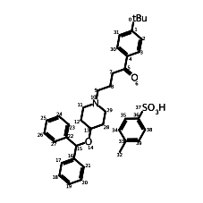 CC(C)(C)c1ccc(C(=O)CCCN2CCC(OC(c3ccccc3)c3ccccc3)CC2)cc1.Cc1ccc(S(=O)(=O)O)cc1